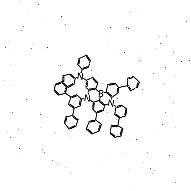 c1ccc(-c2cccc(N3c4cc(-c5ccccc5)ccc4B4c5ccc(N(c6ccccc6)c6ccccc6)cc5N(c5cc(-c6ccccc6)cc(-c6ccccc6)c5)c5cc(-c6ccccc6)cc3c54)c2)cc1